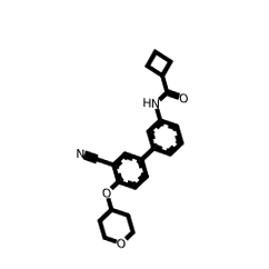 N#Cc1cc(-c2cccc(NC(=O)C3CCC3)c2)ccc1OC1CCOCC1